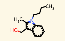 CCCCn1c(C)c(CO)c2ccccc21